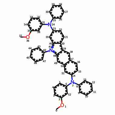 COc1cccc(N(c2ccccc2)c2ccc3cc4c5ccc(N(c6ccccc6)c6cccc(OC)c6)cc5n(-c5ccccc5)c4cc3c2)c1